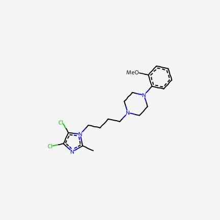 COc1ccccc1N1CCN(CCCCn2c(C)nc(Cl)c2Cl)CC1